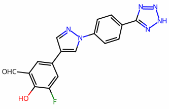 O=Cc1cc(-c2cnn(-c3ccc(-c4nn[nH]n4)cc3)c2)cc(F)c1O